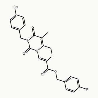 Cc1c2n(c(=O)n(Cc3ccc(C#N)cc3)c1=O)C=C(C(=O)OCc1ccc(F)cc1)SC2